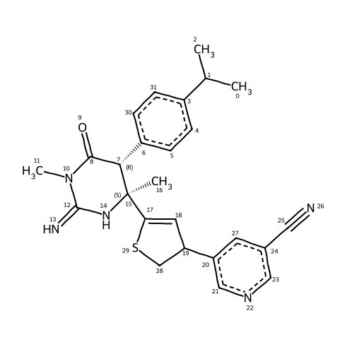 CC(C)c1ccc([C@H]2C(=O)N(C)C(=N)N[C@]2(C)C2=CC(c3cncc(C#N)c3)CS2)cc1